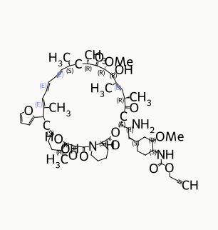 C#CCOC(=O)N[C@H]1CC[C@@H](C[C@@H](N)[C@@H]2CC(=O)[C@H](C)/C=C(\C)[C@@H](O)[C@@H](OC)C(=O)[C@H](C)C[C@H](C)/C=C/C=C/C=C(\C)C(c3ccco3)C[C@@H]3CC[C@@H](C)[C@@](O)(O3)C(=O)C(=O)N3CCCC[C@H]3C(=O)O2)C[C@H]1OC